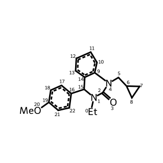 CCN1C(=O)N(CC2CC2)c2ccccc2C1c1ccc(OC)cc1